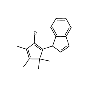 CC1=C(C)C(C)(C)C(C2C=Cc3ccccc32)=[C]1[Zr]